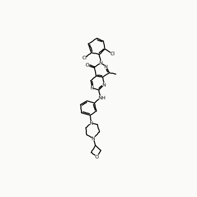 Cc1nn(-c2c(Cl)cccc2Cl)c(=O)c2cnc(Nc3cccc(N4CCN(C5COC5)CC4)c3)nc12